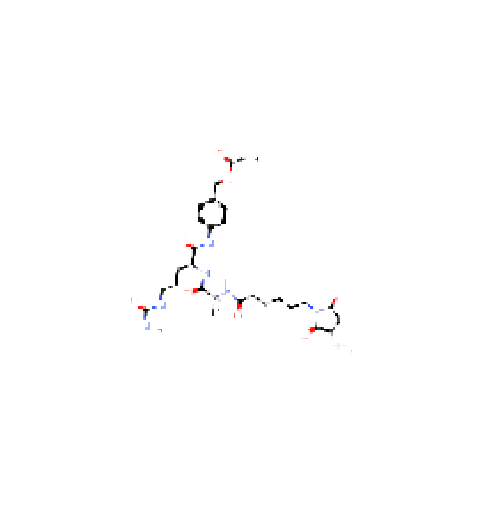 BC1CC(=O)N(CCCCCC(=O)N[C@H](C(=O)NC(CCCNC(N)=O)C(=O)Nc2ccc(COC(=O)C(C)(C)C)cc2)C(C)C)C1=O